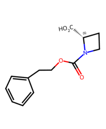 O=C(O)[C@@H]1CCN1C(=O)OCCc1ccccc1